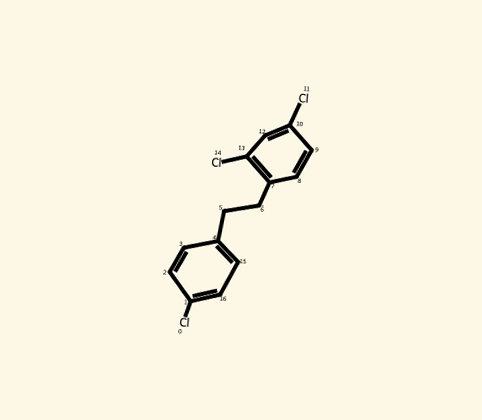 Clc1ccc(C[CH]c2ccc(Cl)cc2Cl)cc1